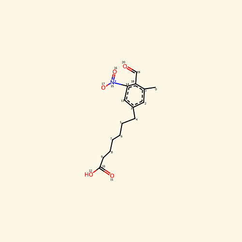 Cc1cc(CCCCCCC(=O)O)cc([N+](=O)[O-])c1C=O